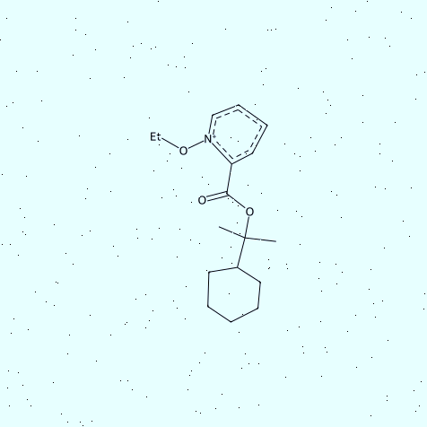 CCO[n+]1ccccc1C(=O)OC(C)(C)C1CCCCC1